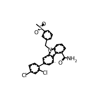 CS(=O)(=O)c1cccc(Cn2c3cc(-c4ccc(Cl)cc4Cl)c[c]c3c3c(C(N)=O)cccc32)c1